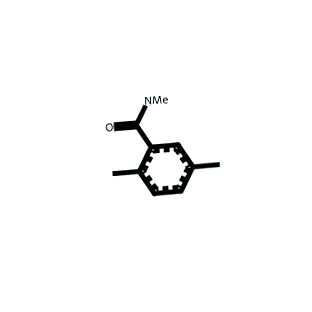 CNC(=O)c1cc(C)ccc1C